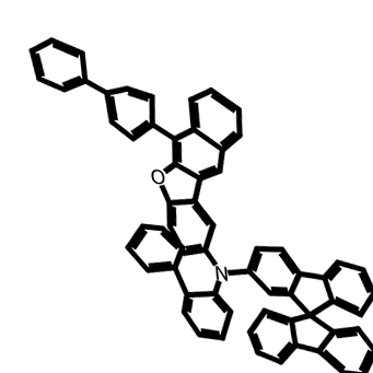 c1ccc(-c2ccc(-c3c4ccccc4cc4c3oc3ccc(N(c5ccc6c(c5)C5(c7ccccc7-c7ccccc75)c5ccccc5-6)c5ccccc5-c5ccccc5)cc34)cc2)cc1